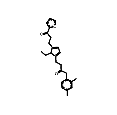 CCC1C(CCC(=O)Cc2ccc(C)cc2C)=CC=C1CCC(=O)c1ccco1